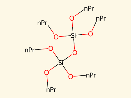 CCCO[Si](OCCC)(OCCC)O[Si](OCCC)(OCCC)OCCC